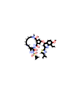 CCc1c(OC)ccc2c(OC3CC4C(=O)NC5(C(=O)NS(=O)(=O)C6CC6)CC5/C=C/CCCCN(C)C(=O)C4C3)cc(-c3nc(C(C)C)cs3)nc12